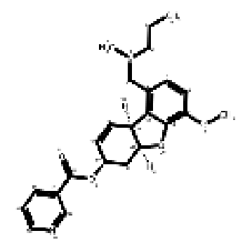 CCCN(C)Cc1ccc(OC)c2c1[C@@H]1C=C[C@H](OC(=O)c3cccnc3)C[C@@H]1O2